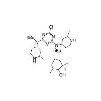 CC1CCCC(C)(C)C1O.CCCCN(c1nc(Cl)nc(N(CCCC)C2CCNC(C)C2)n1)C1CCNC(C)C1